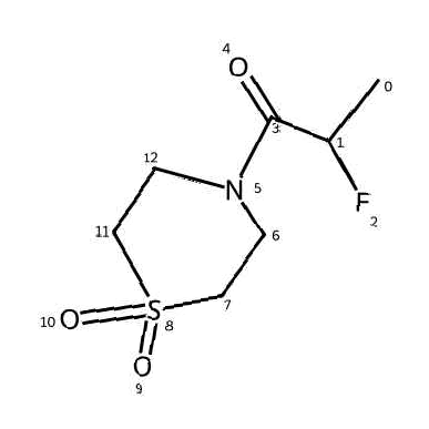 CC(F)C(=O)N1CCS(=O)(=O)CC1